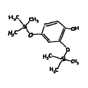 C[Si](C)(C)Oc1ccc(O)c(O[Si](C)(C)C)c1